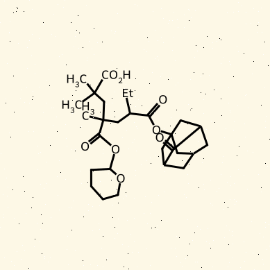 CCC(CC(C)(CC(C)(C)C(=O)O)C(=O)OC1CCCCO1)C(=O)OC12CC3CC(C1)C(=O)C(C3)C2